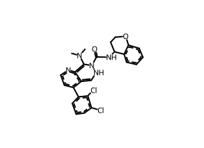 CN(C)C1=c2nccc(-c3cccc(Cl)c3Cl)c2=CNN1C(=O)N[C@H]1CCOc2ccccc21